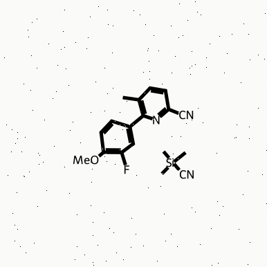 COc1ccc(-c2nc(C#N)ccc2C)cc1F.C[Si](C)(C)C#N